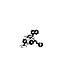 CNC(=O)c1ccccc1Sc1ccc2c(/C=C/c3ccccn3)nn(P(=O)(N[C@@H](C)C(=O)OC)Oc3cccc4ccccc34)c2c1